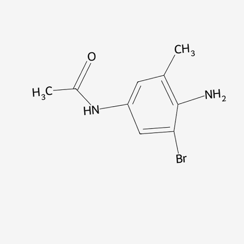 CC(=O)Nc1cc(C)c(N)c(Br)c1